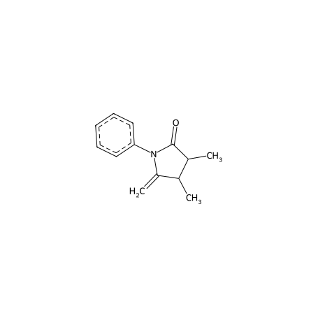 C=C1C(C)C(C)C(=O)N1c1ccccc1